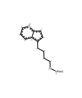 CCCCCOCCCCc1ccc2occcc1-2